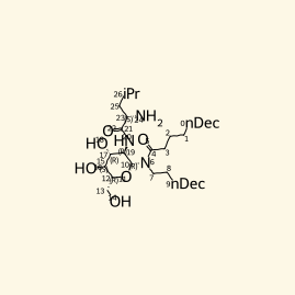 CCCCCCCCCCCCCC(=O)N(CCCCCCCCCCCC)[C@@H]1O[C@H](CO)[C@@H](O)[C@H](O)[C@H]1NC(=O)[C@@H](N)CC(C)C